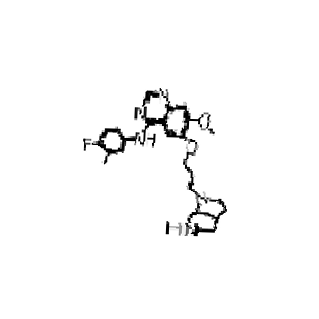 COc1cc2ncnc(Nc3ccc(F)c(C)c3)c2cc1OCCCN1CCC2CNCC21